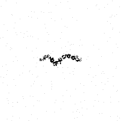 C/C(=N\C(=O)c1nc(C(C)(C)C)no1)c1ccc(-c2ncnc3[nH]c(-c4ccc(N5CCN(CC6CCN(c7ccc(N8CCC(=O)NC8=O)cc7)CC6)C[C@H]5C)nc4)cc23)cc1C